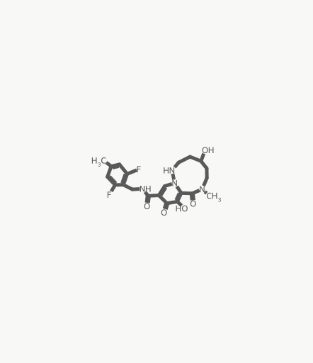 Cc1cc(F)c(CNC(=O)c2cn3c(c(O)c2=O)C(=O)N(C)CCC(O)CCN3)c(F)c1